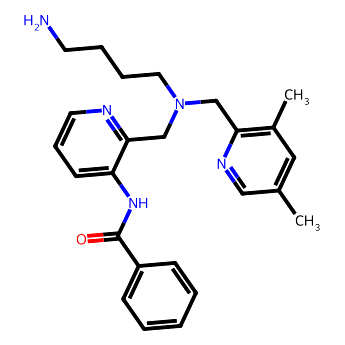 Cc1cnc(CN(CCCCN)Cc2ncccc2NC(=O)c2ccccc2)c(C)c1